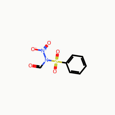 O=[C]N([N+](=O)[O-])S(=O)(=O)c1ccccc1